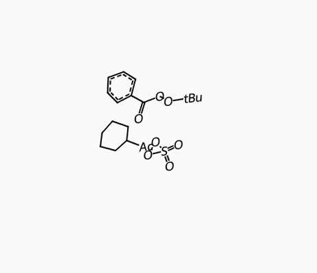 CC(=O)C1CCCCC1.CC(C)(C)OOC(=O)c1ccccc1.O=S1(=O)OO1